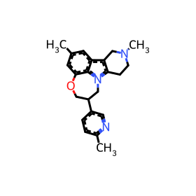 Cc1cc2c3c(c1)c1c(n3CC(c3ccc(C)nc3)CO2)CCN(C)C1